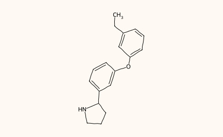 CCc1cccc(Oc2cccc(C3CCCN3)c2)c1